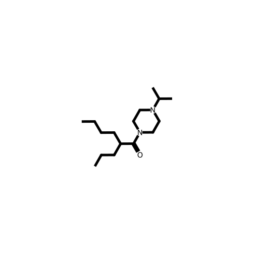 CCCCC(CCC)C(=O)N1CCN(C(C)C)CC1